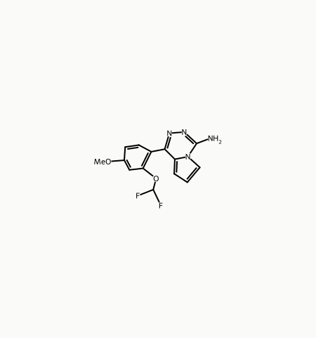 COc1ccc(-c2nnc(N)n3cccc23)c(OC(F)F)c1